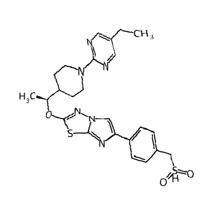 CCc1cnc(N2CCC([C@H](C)Oc3nn4cc(-c5ccc(C[SH](=O)=O)cc5)nc4s3)CC2)nc1